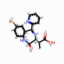 CC(C(=O)O)[C@@H]1N=C(c2ccccn2)c2cc(Br)ccc2NC1=O